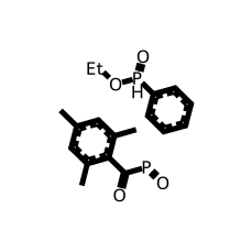 CCO[PH](=O)c1ccccc1.Cc1cc(C)c(C(=O)P=O)c(C)c1